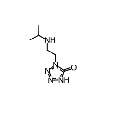 CC(C)NCCn1nn[nH]c1=O